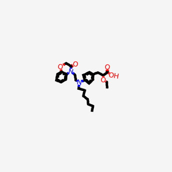 CCCCCCCN(CCN1C(=O)COc2ccccc21)c1ccc(CC(OCC)C(=O)O)cc1